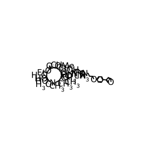 CC[C@H]1OC(=O)[C@H](C)[C@@H](OC)[C@H](C)[C@@H](O[C@@H]2O[C@H](C)C[C@H](N(C)CCc3cn(CCCOc4ccc(-c5ccoc5)cc4)nn3)[C@H]2O)[C@](C)(O)C[C@@H](C)CN(C)[C@H](C)[C@@H](O)[C@]1(C)O